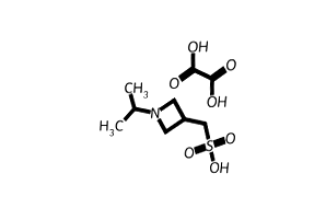 CC(C)N1CC(CS(=O)(=O)O)C1.O=C(O)C(=O)O